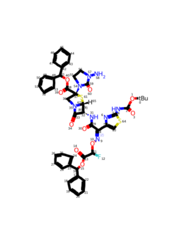 CC(C)(C)OC(=O)Nc1nc(/C(=N/OC(F)C(=O)OC(c2ccccc2)c2ccccc2)C(=O)N[C@@H]2C(=O)N3C[C@@](C(=O)OC(c4ccccc4)c4ccccc4)(N4CCN(N)C4=O)S[C@H]23)cs1